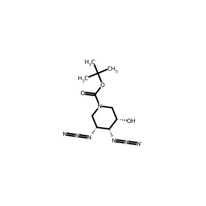 CC(C)(C)OC(=O)N1C[C@H](O)[C@H](N=[N+]=[N-])[C@H](N=[N+]=[N-])C1